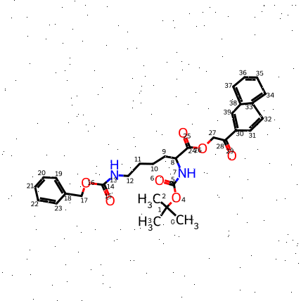 CC(C)(C)OC(=O)NC(CCCCNC(=O)OCc1ccccc1)C(=O)OCC(=O)c1ccc2ccccc2c1